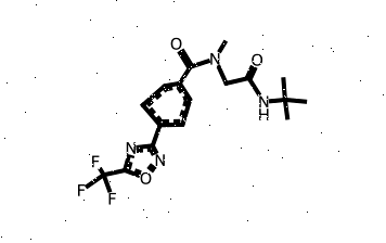 CN(CC(=O)NC(C)(C)C)C(=O)c1ccc(-c2noc(C(F)(F)F)n2)cc1